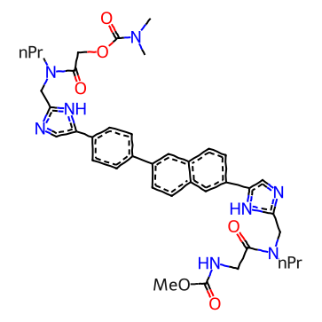 CCCN(Cc1ncc(-c2ccc3cc(-c4ccc(-c5cnc(CN(CCC)C(=O)COC(=O)N(C)C)[nH]5)cc4)ccc3c2)[nH]1)C(=O)CNC(=O)OC